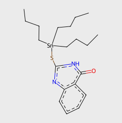 CCC[CH2][Sn]([CH2]CCC)([CH2]CCC)[S]c1nc2ccccc2c(=O)[nH]1